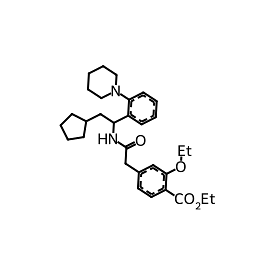 CCOC(=O)c1ccc(CC(=O)NC(CC2CCCC2)c2ccccc2N2CCCCC2)cc1OCC